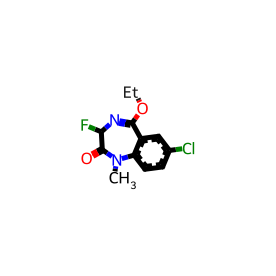 CCOC1=NC(F)C(=O)N(C)c2ccc(Cl)cc21